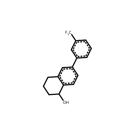 OC1CCCc2cc(-c3cccc(C(F)(F)F)c3)ccc21